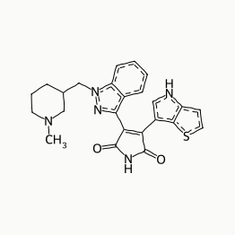 CN1CCCC(Cn2nc(C3=C(c4c[nH]c5ccsc45)C(=O)NC3=O)c3ccccc32)C1